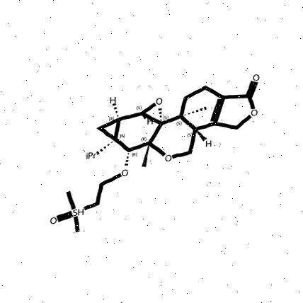 CC(C)[C@]12C[C@H]1[C@@H]1O[C@@]13[C@@]1(C)CCC4=C(COC4=O)[C@@H]1CO[C@]3(C)[C@@H]2OCC[SH](C)(C)=O